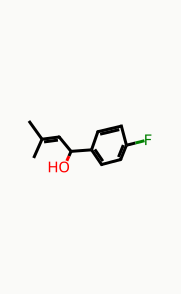 CC(C)=CC(O)c1ccc(F)cc1